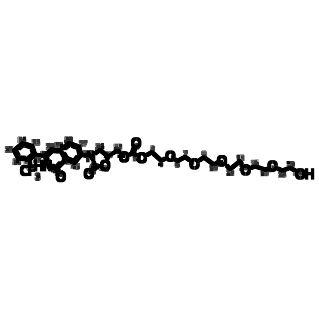 O=C(OCCOCCOCCOCCOCCOCCO)OC[C@@H]1CN(c2ccc3cc(-c4ccccc4C(F)(F)F)[nH]c(=O)c3c2)C(=O)O1